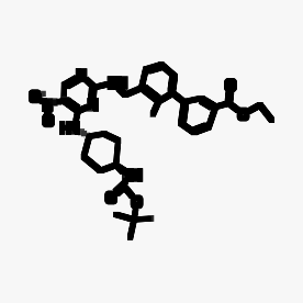 CCOC(=O)c1cccc(-c2cccc(CNc3ncc([N+](=O)[O-])c(N[C@H]4CC[C@H](NC(=O)OC(C)(C)C)CC4)n3)c2C)c1